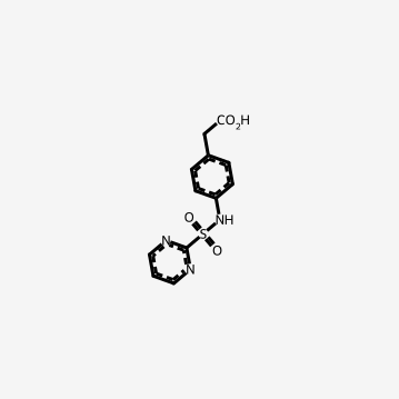 O=C(O)Cc1ccc(NS(=O)(=O)c2ncccn2)cc1